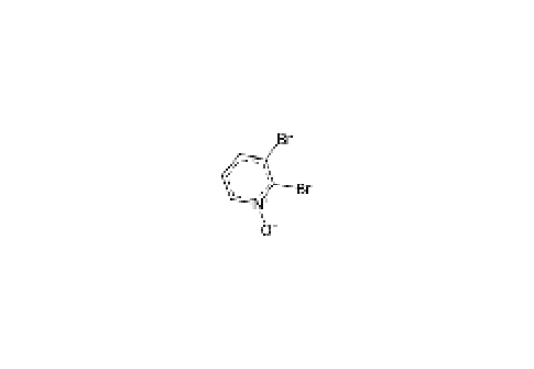 [O-][n+]1cccc(Br)c1Br